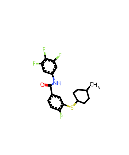 CC1CCC(Sc2cc(C(=O)Nc3cc(F)c(F)c(F)c3)ccc2F)CC1